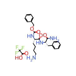 NCCCC[C@H](NC(=O)OCc1ccccc1)C(=O)N[C@@H](Cc1ccccc1)C(N)=O.O=C(O)C(F)(F)F